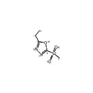 CCc1nnc(S(C)(=O)=O)o1